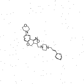 C(=C\c1ccccc1)/CN1CCN(CC2ON=C3c4cc(N5CCOCC5)ccc4OCC32)CC1